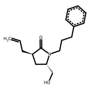 C=CC[C@@H]1C[C@@H](CO)N(CCCc2ccccc2)C1=O